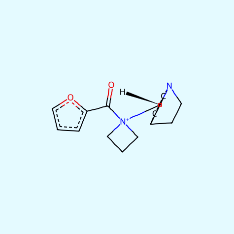 O=C(c1ccco1)[N+]1([C@H]2CN3CCC2CC3)CCC1